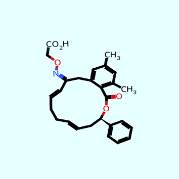 Cc1cc(C)c2c(c1)CC(=NOCC(=O)O)/C=C/CC/C=C/C[C@H](c1ccccc1)OC2=O